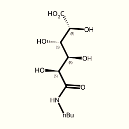 CCCCNC(=O)[C@@H](O)[C@H](O)[C@H](O)[C@@H](O)C(=O)O